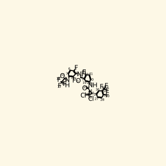 O=C(Nc1c(F)ccc(NC(=O)C(F)(F)F)c1F)c1cc(NC(=O)[C@H]2[C@H](c3ccc(F)c(C(F)(F)F)c3)C2(Cl)Cl)ccc1F